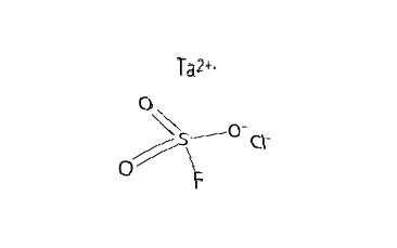 O=S(=O)([O-])F.[Cl-].[Ta+2]